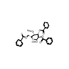 CO[C@H]1O[C@H](COC(=O)c2ccccc2)[C@H](OC)[C@H](OC(=O)c2ccccc2)[C@H]1OC(=O)c1ccccc1